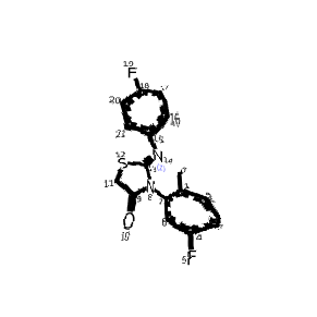 Cc1ccc(F)cc1N1C(=O)CS/C1=N\c1ccc(F)cc1